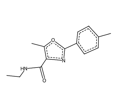 CCNC(=O)c1nc(-c2ccc(C)cc2)oc1C